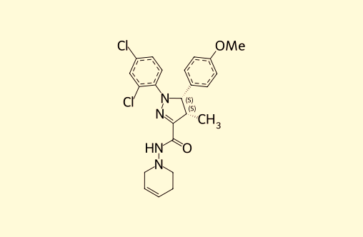 COc1ccc([C@@H]2[C@H](C)C(C(=O)NN3CC=CCC3)=NN2c2ccc(Cl)cc2Cl)cc1